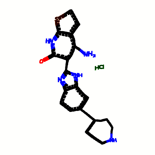 Cl.Nc1c(-c2nc3ccc(C4CCNCC4)cc3[nH]2)c(=O)[nH]c2sccc12